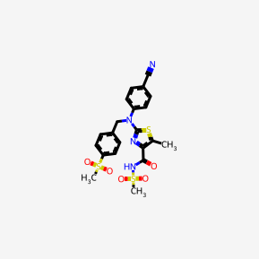 Cc1sc(N(Cc2ccc(S(C)(=O)=O)cc2)c2ccc(C#N)cc2)nc1C(=O)NS(C)(=O)=O